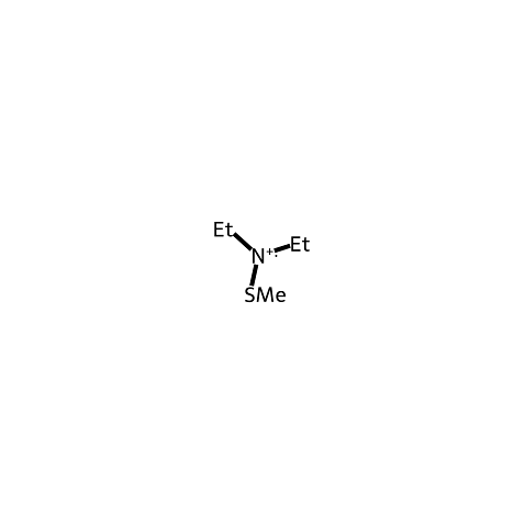 CC[N+](CC)SC